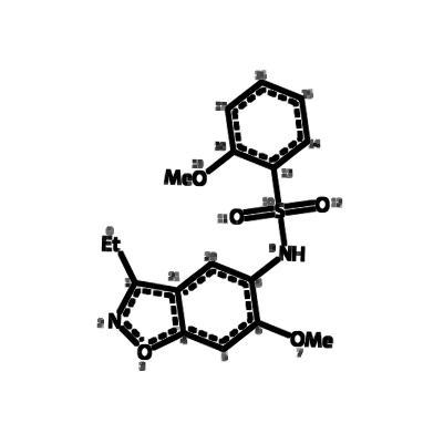 CCc1noc2cc(OC)c(NS(=O)(=O)c3ccccc3OC)cc12